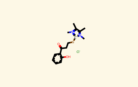 Cc1c(C)n(C)[c+](SCCC(=O)c2ccccc2O)n1C.[Cl-]